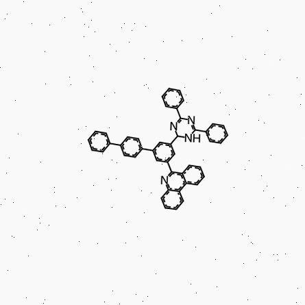 c1ccc(C2=NC(c3cc(-c4ccc(-c5ccccc5)cc4)cc(-c4nc5ccccc5c5ccccc45)c3)NC(c3ccccc3)=N2)cc1